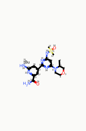 CC1COCCN1c1cc(N=S(C)(C)=O)nc(-c2cc(NC(C)(C)C)nc(C(N)=O)c2)n1